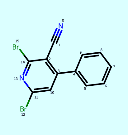 N#Cc1c(-c2ccccc2)cc(Br)nc1Br